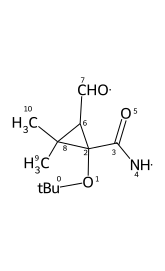 CC(C)(C)OC1(C([NH])=O)C([C]=O)C1(C)C